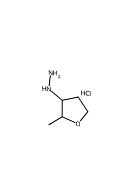 CC1OCCC1NN.Cl